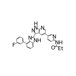 CCC(=O)Nc1ccc(-c2cnc3[nH]nc(-c4nc5c(-c6cccc(F)c6)cccc5[nH]4)c3c2)cn1